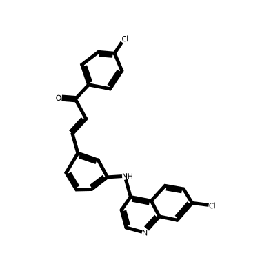 O=C(C=Cc1cccc(Nc2ccnc3cc(Cl)ccc23)c1)c1ccc(Cl)cc1